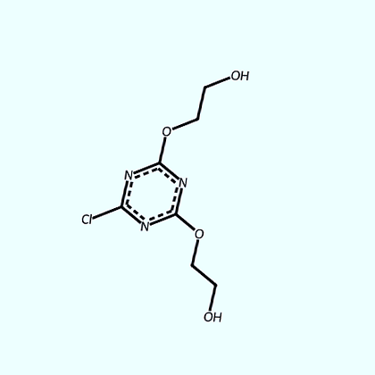 OCCOc1nc(Cl)nc(OCCO)n1